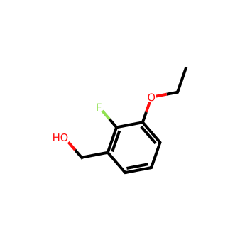 CCOc1cccc([CH]O)c1F